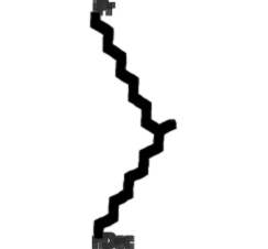 CCCCCCCCCCCCCCCCCCC(C)CCCCCCCCCC(C)C